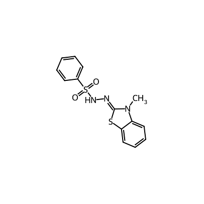 Cn1/c(=N/NS(=O)(=O)c2ccccc2)sc2ccccc21